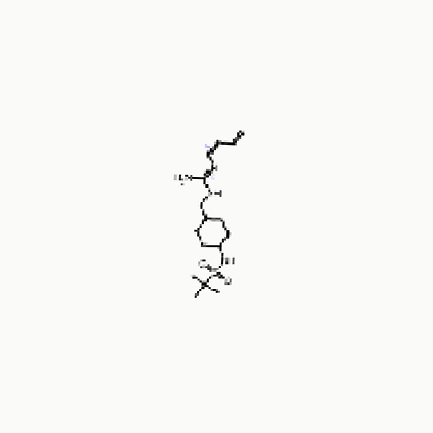 C=C/C=C\N=C(/N)NCC1CCC(NS(=O)(=O)C(C)(C)C)CC1